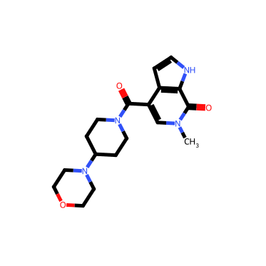 Cn1cc(C(=O)N2CCC(N3CCOCC3)CC2)c2cc[nH]c2c1=O